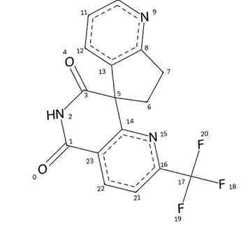 O=C1NC(=O)C2(CCc3ncccc32)c2nc(C(F)(F)F)ccc21